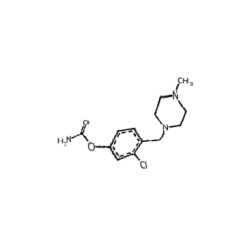 CN1CCN(Cc2ccc(OC(N)=O)cc2Cl)CC1